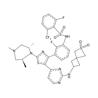 C[C@H]1CN(C)C[C@H](C)N1c1nc(-c2cccc(NS(=O)(=O)c3c(F)cccc3C(F)(F)F)c2F)c(-c2ccnc(NC3CC4(C3)CS(=O)(=O)C4)n2)s1